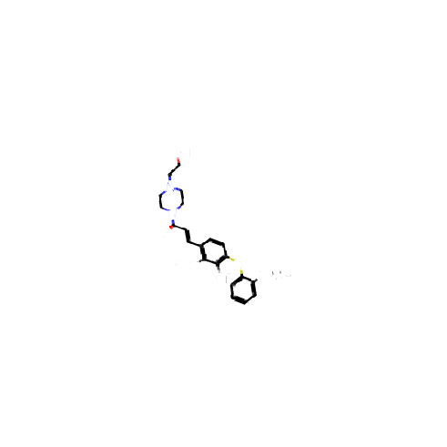 COc1ccccc1Sc1ccc(/C=C/C(=O)N2CCN(CCO)CC2)c(C(F)(F)F)c1C(F)(F)F